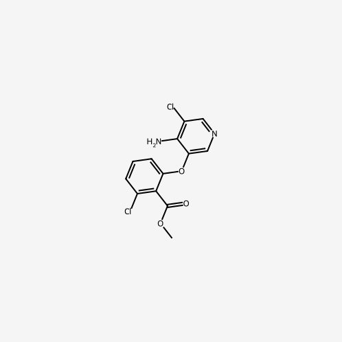 COC(=O)c1c(Cl)cccc1Oc1cncc(Cl)c1N